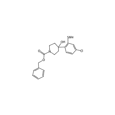 CSc1cc(Cl)ccc1C1(O)CCN(C(=O)OCc2ccccc2)CC1